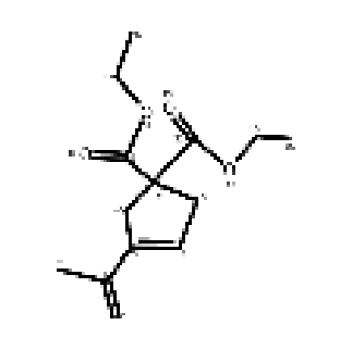 C=C(C)C1=CCC(C(=O)OCC)(C(=O)OCC)C1